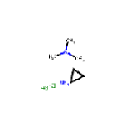 C1CC1.CN(C)C.Cl.Cl.N